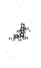 CC(=N)/C=C(\S)Nc1cc(N[C@H](CC2CCCCC2)C(N)=O)ccc1C#N